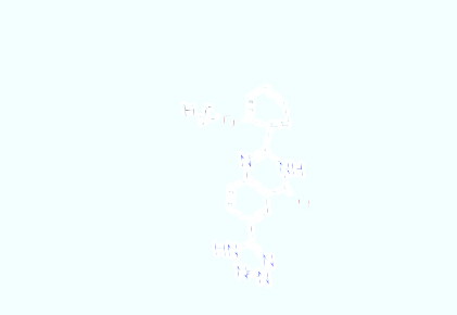 COc1ccccc1-c1nc2ccc(-c3nnn[nH]3)cc2c(=O)[nH]1